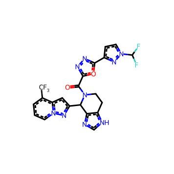 O=C(c1nnc(-c2ccn(C(F)F)n2)o1)N1CCc2[nH]cnc2C1c1cc2c(C(F)(F)F)cccn2n1